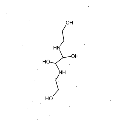 OCCNC(O)C(O)NCCO